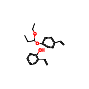 C=Cc1ccc(OC(CC)OCC)cc1.C=Cc1ccccc1O